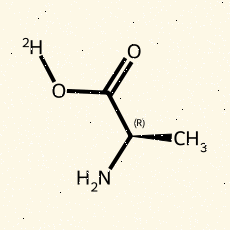 [2H]OC(=O)[C@@H](C)N